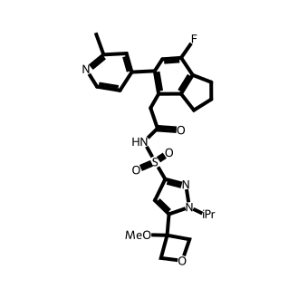 COC1(c2cc(S(=O)(=O)NC(=O)Cc3c(-c4ccnc(C)c4)cc(F)c4c3CCC4)nn2C(C)C)COC1